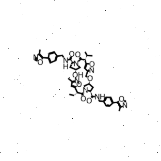 CC[C@@H](C(=O)N1C[C@H](OCc2cc([C@H](C(=O)N3C[C@H](O)C[C@H]3C(=O)NCc3ccc(-c4ocnc4C)cc3)C(C)C)on2)C[C@H]1C(=O)NCc1ccc(-c2ocnc2C)cc1)c1cc(C)no1